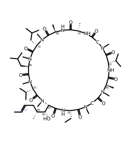 C/C=C/C[C@@H](C)[C@@H](O)[C@H]1C(=O)N[C@@H](CC)C(=O)N(C)CC(=O)N(C)[C@H](C)C(=O)N[C@@H](C(C)C)C(=O)N(C)CC(=O)N[C@@H](C)C(=O)N[C@H](C)C(=O)N(C)[C@@H](CC(C)C)C(=O)N(C)[C@H](CC(C)C)C(=O)N(C)[C@@H](C(C)C)C(=O)N1C